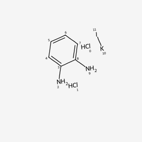 Cl.Cl.Nc1ccccc1N.[K][I]